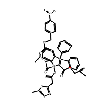 CC(=O)COC(=O)C([N+]1(SC(=S)Cc2nnc(C)s2)C[C@@H](C(C)OC(=O)OCc2ccc([N+](=O)[O-])cc2)C1=O)=P(c1ccccc1)(c1ccccc1)c1ccccc1